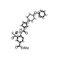 COC(=O)c1ccc(NC(=O)c2csc(N3CCC(Oc4ncccn4)CC3)n2)c(S(C)(=O)=O)c1